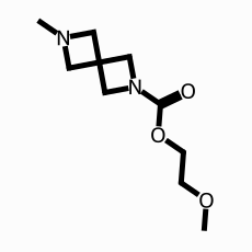 COCCOC(=O)N1CC2(CN(C)C2)C1